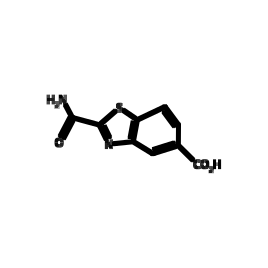 NC(=O)c1nc2cc(C(=O)O)ccc2s1